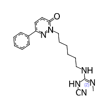 C/N=C(\NC#N)NCCCCCCn1nc(-c2ccccc2)ccc1=O